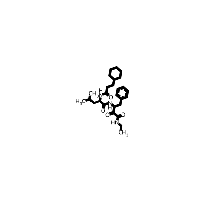 CCNC(=O)C(=O)C(Cc1ccccc1)NC(=O)C(CC(C)C)NC(=O)CCC1CCCCC1